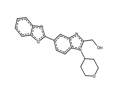 OCc1nc2cc(-c3nc4ccccc4o3)ccc2n1C1CCOCC1